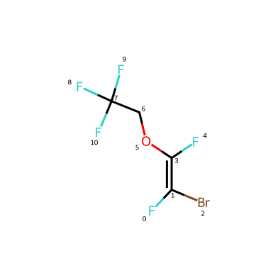 F/C(Br)=C(/F)OCC(F)(F)F